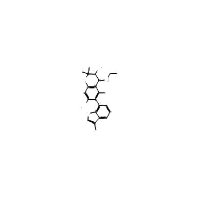 CCNC1c2c(cc(F)c(-c3cccc4c(C)c[nH]c34)c2F)NC(C)(C)C1O